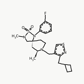 C[C@H]1C[C@]2(CCN1Cc1csnc1CC1CCC1)CN(C)S(=O)(=O)N2c1cccc(F)c1